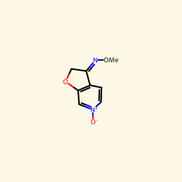 CO/N=C1/COc2c[n+]([O-])ccc21